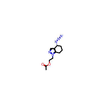 CC(=O)OCCn1ncc2c1CCC[C@H]2N=[N+]=[N-]